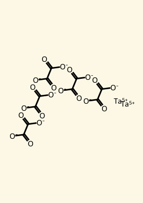 O=C([O-])C(=O)[O-].O=C([O-])C(=O)[O-].O=C([O-])C(=O)[O-].O=C([O-])C(=O)[O-].O=C([O-])C(=O)[O-].[Ta+5].[Ta+5]